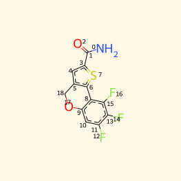 NC(=O)c1cc2c(s1)-c1c(cc(F)c(F)c1F)OC2